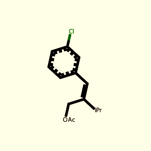 CC(=O)OCC(=Cc1cccc(Cl)c1)C(C)C